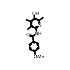 COc1ccc(C(=O)Nc2nc(C)c(O)c(C)c2C)cc1